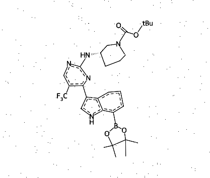 CC(C)(C)OC(=O)N1CCC[C@H](Nc2ncc(C(F)(F)F)c(-c3c[nH]c4c(B5OC(C)(C)C(C)(C)O5)cccc34)n2)C1